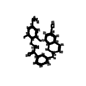 Cc1cc(N)nc(C)c1CNC(=O)c1ccnc(CN2C=Cc3cc(Cl)ccc3C2)c1